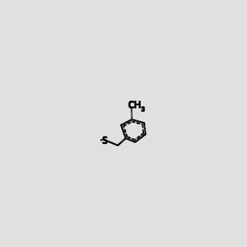 Cc1cccc(C[S])c1